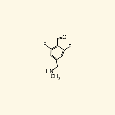 CNCc1cc(F)c(C=O)c(F)c1